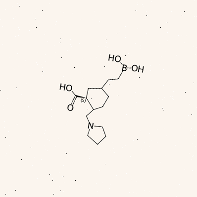 O=C(O)[C@H]1CC(CCB(O)O)CCC1CN1CCCC1